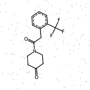 O=C1CCN(C(=O)Cc2ccccc2C(F)(F)F)CC1